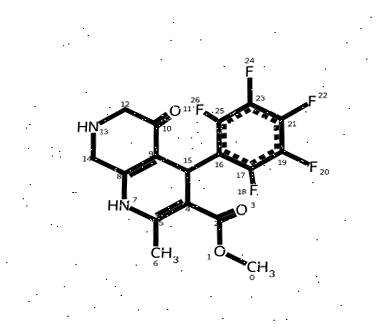 COC(=O)C1=C(C)NC2=C(C(=O)CNC2)C1c1c(F)c(F)c(F)c(F)c1F